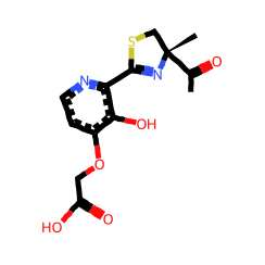 CC(=O)[C@@]1(C)CSC(c2nccc(OCC(=O)O)c2O)=N1